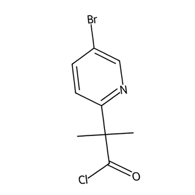 CC(C)(C(=O)Cl)c1ccc(Br)cn1